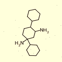 NC1CC(N)(C2CCCCC2)CCC1C1CCCCC1